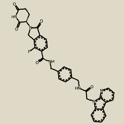 O=C(Cn1c2ccccc2c2cccnc21)NCc1ccc(CNC(=O)c2ccc3c(c2F)CN(C2CCC(=O)NC2=O)C3=O)cc1